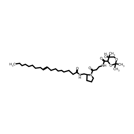 CCCCCCCCC=CCCCCCCCC(=O)NCC1CCCN1C(=O)CCNC(=O)C1OC(C)(C)OCC1(C)C